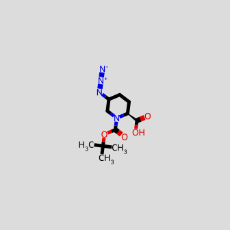 CC(C)(C)OC(=O)N1CC(N=[N+]=[N-])CC[C@H]1C(=O)O